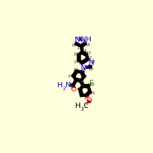 COc1ccc(-c2cc(-n3cnc4cc(-c5cn[nH]c5)ccc43)c[c]c2C(N)=O)c(F)c1